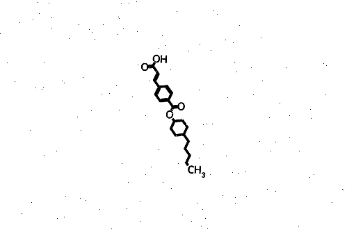 CCCCCC1CCC(OC(=O)c2ccc(/C=C/C(=O)O)cc2)CC1